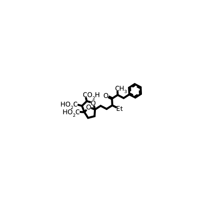 CCC(CCC12CCC(C(=O)O)(O1)C(C(=O)O)C(C(=O)O)O2)C(=O)C(C)Cc1ccccc1